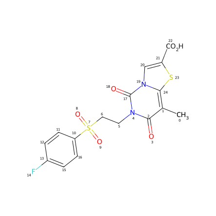 Cc1c(=O)n(CCS(=O)(=O)c2ccc(F)cc2)c(=O)n2cc(C(=O)O)sc12